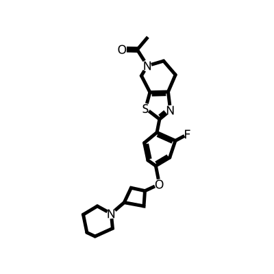 CC(=O)N1CCc2nc(-c3ccc(OC4CC(N5CCCCC5)C4)cc3F)sc2C1